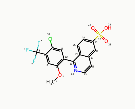 COc1cc(C(F)(F)F)c(Cl)cc1-c1nccc2cc(S(=O)(=O)O)ccc12